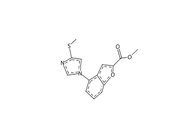 COC(=O)c1cc2c(-n3cnc(SC)c3)cccc2o1